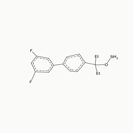 CCC(CC)(O[SiH3])c1ccc(-c2cc(F)cc(F)c2)cc1